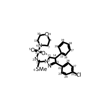 CSC(=NS(=O)(=O)N1CCOCC1)N1CC(c2ccccc2)C(c2ccc(Cl)cc2)=N1